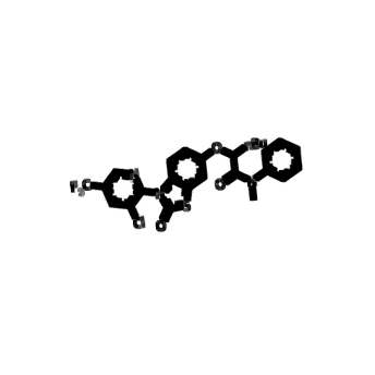 CCCCC(Oc1ccc2c(c1)sc(=O)n2-c1ncc(C(F)(F)F)cc1Cl)C(=O)N(C)c1ccccc1